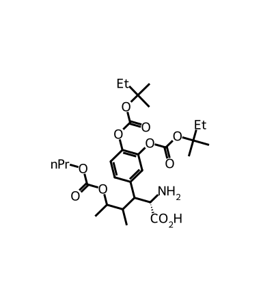 CCCOC(=O)OC(C)C(C)C(c1ccc(OC(=O)OC(C)(C)CC)c(OC(=O)OC(C)(C)CC)c1)[C@H](N)C(=O)O